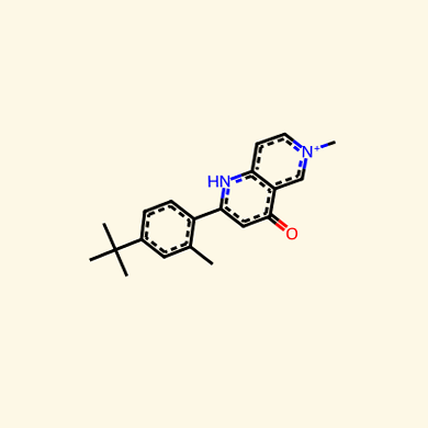 Cc1cc(C(C)(C)C)ccc1-c1cc(=O)c2c[n+](C)ccc2[nH]1